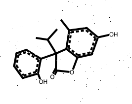 Cc1cc(O)cc2c1C(c1ccccc1O)(C(C)C)C(=O)O2